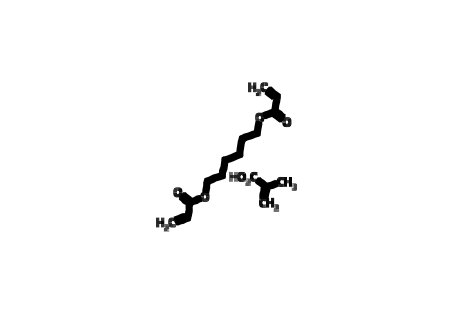 C=C(C)C(=O)O.C=CC(=O)OCCCCCCOC(=O)C=C